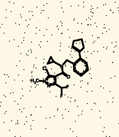 Cn1nc(C(F)F)c(C(=O)N(Cc2ccccc2C2=CCCC2)C2CC2)c1Cl